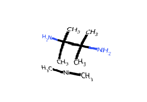 CC(C)(N)C(C)(C)N.[CH3][Ni][CH3]